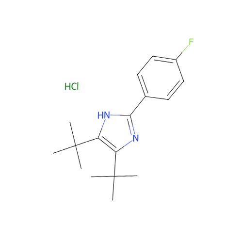 CC(C)(C)c1nc(-c2ccc(F)cc2)[nH]c1C(C)(C)C.Cl